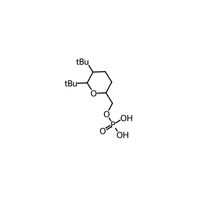 CC(C)(C)C1CCC(COP(=O)(O)O)OC1C(C)(C)C